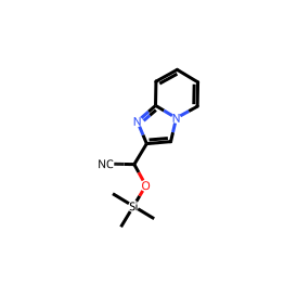 C[Si](C)(C)OC(C#N)c1cn2ccccc2n1